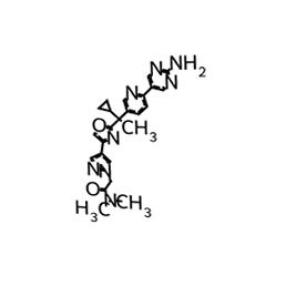 CN(C)C(=O)Cn1cc(-c2coc(C(C)(c3ccc(-c4cnc(N)nc4)nc3)C3CC3)n2)cn1